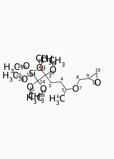 CCC(CCC(C)OCC1CO1)(OC)C(OC)(OC)[Si](OC)(OC)OC